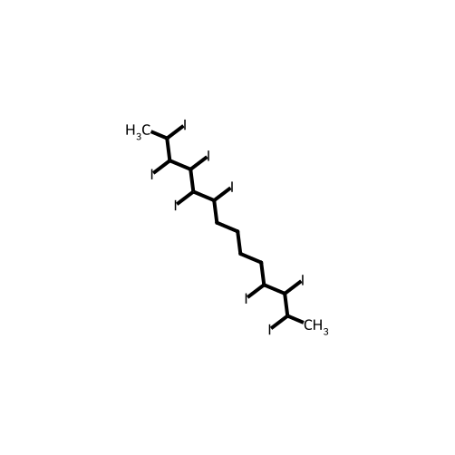 CC(I)C(I)C(I)CCCCC(I)C(I)C(I)C(I)C(C)I